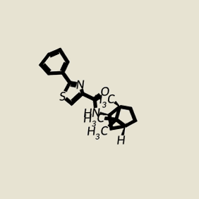 CC1(C)[C@@H]2CC[C@@]1(C)[C@H](NC(=O)c1csc(-c3ccccc3)n1)C2